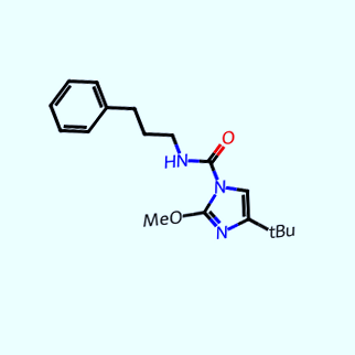 COc1nc(C(C)(C)C)cn1C(=O)NCCCc1ccccc1